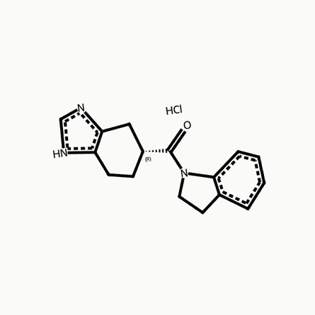 Cl.O=C([C@@H]1CCc2[nH]cnc2C1)N1CCc2ccccc21